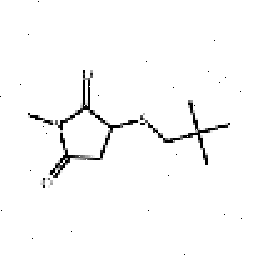 CN1C(=O)CC(SCC(C)(C)C)C1=O